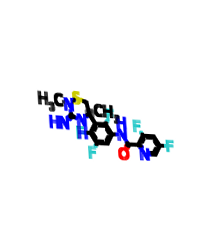 CN1SC[C@@](C)(c2c(F)c(F)cc(NC(=O)c3ncc(F)cc3F)c2F)NC1=N